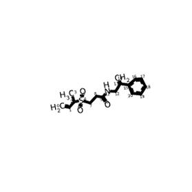 C=CC(C)S(=O)(=O)CCC(=O)NCC(=C)c1ccccc1